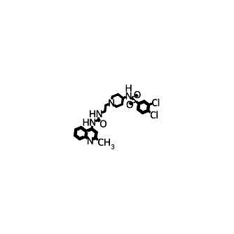 Cc1cc(NC(=O)NCCN2CCC(NS(=O)(=O)c3ccc(Cl)c(Cl)c3)CC2)c2ccccc2n1